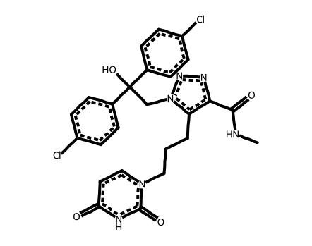 CNC(=O)c1nnn(CC(O)(c2ccc(Cl)cc2)c2ccc(Cl)cc2)c1CCCn1ccc(=O)[nH]c1=O